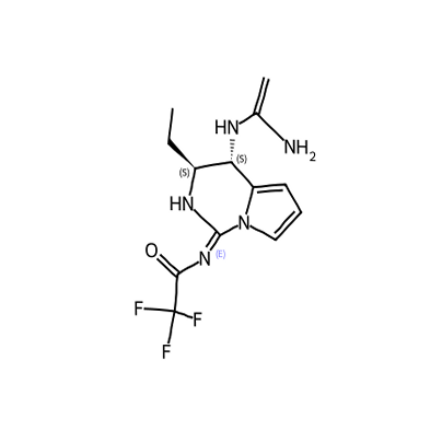 C=C(N)N[C@@H]1c2cccn2/C(=N/C(=O)C(F)(F)F)N[C@H]1CC